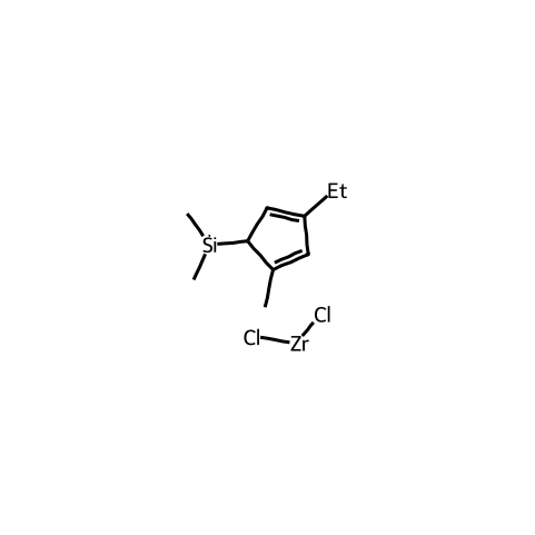 CCC1=CC([Si](C)C)C(C)=C1.[Cl][Zr][Cl]